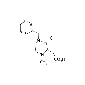 CC1C(CC(=O)O)N(C)CCN1Cc1ccccc1